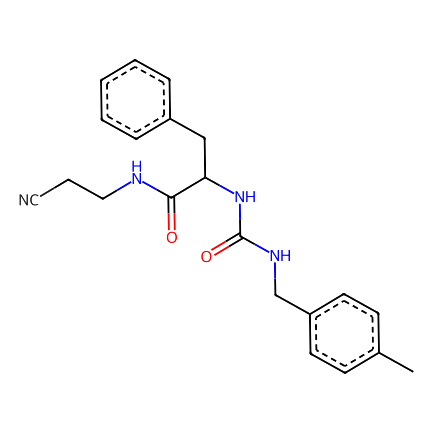 Cc1ccc(CNC(=O)NC(Cc2ccccc2)C(=O)NCCC#N)cc1